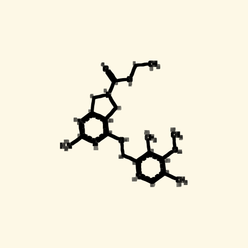 CCOC(=O)N1Cc2nc(N)nc(OCc3ncc(C)c(OC)c3C)c2C1